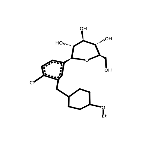 CCOC1CCC(Cc2cc([C@@H]3O[C@H](CO)[C@@H](O)[C@H](O)[C@H]3O)ccc2Cl)CC1